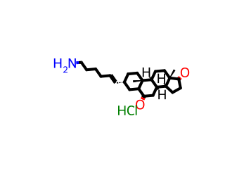 C[C@]12CC[C@@H](/C=C/CCCCN)CC1C(=O)C[C@@H]1[C@@H]2CC[C@]2(C)C(=O)CC[C@@H]12.Cl